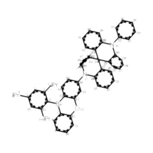 CC(C)c1cc(C(C)C)c(B2c3ccccc3Oc3cc(N4c5ccccc5C5(c6ccccc6N(c6ccccc6)c6ccccc65)c5ccccc54)ccc32)c(C(C)C)c1